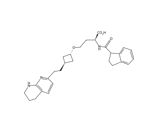 O=C(N[C@@H](CCO[C@H]1C[C@H](CCc2ccc3c(n2)NCCC3)C1)C(=O)O)C1CCc2ccccc21